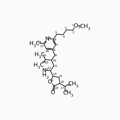 COCCCCc1cc(CC(CC(N)C2CC(C(C)C)C(=O)O2)C(C)C)cc(C)n1